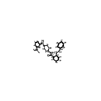 CN(C)c1ccnc(NC2CCC(NC(=O)c3ccccc3CCc3ccccc3)CC2)n1